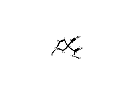 COC(=O)C1(C#N)CCN(C)C1